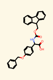 O=C(NC(C(=O)O)c1ccc(OCc2ccccc2)cc1)OCC1c2ccccc2-c2ccccc21